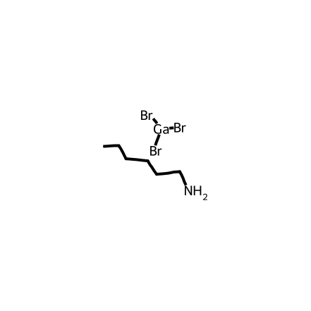 CCCCCCN.[Br][Ga]([Br])[Br]